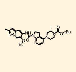 CCOc1cn2nc(C)cc2cc1NC(=O)N1CCc2c(N3CCN(C(=O)OC(C)(C)C)[C@@H](C)C3)ccnc21